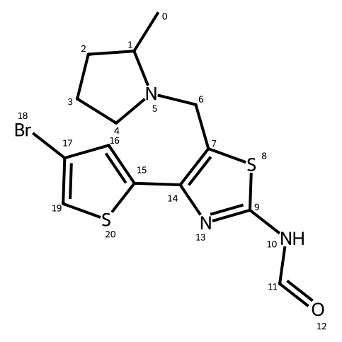 CC1CCCN1Cc1sc(NC=O)nc1-c1cc(Br)cs1